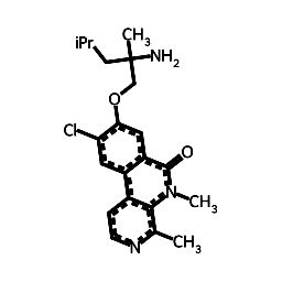 Cc1nccc2c3cc(Cl)c(OCC(C)(N)CC(C)C)cc3c(=O)n(C)c12